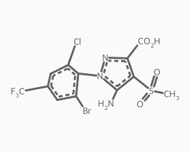 CS(=O)(=O)c1c(C(=O)O)nn(-c2c(Cl)cc(C(F)(F)F)cc2Br)c1N